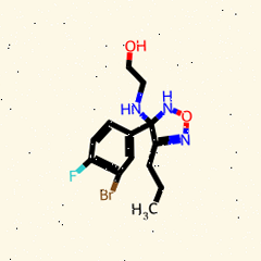 CCCC1=NONC1(NCCO)c1ccc(F)c(Br)c1